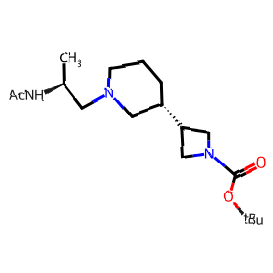 CC(=O)N[C@@H](C)CN1CCC[C@H](C2CN(C(=O)OC(C)(C)C)C2)C1